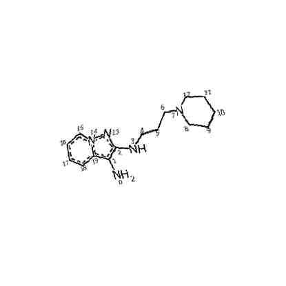 Nc1c(NCCCN2CCCCC2)nn2ccccc12